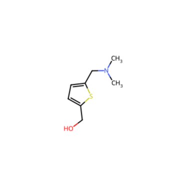 CN(C)Cc1ccc(CO)s1